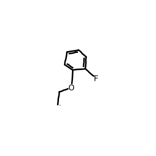 [CH2]COc1ccccc1F